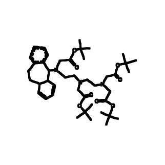 CC(C)(C)OC(=O)CN(CCN(CC(=O)OC(C)(C)C)CC(=O)OC(C)(C)C)CCN(CC(=O)OC(C)(C)C)C1c2ccccc2CCC2C=CC=CC21